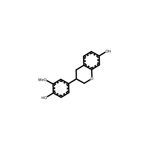 COc1cc(C2COc3cc(O)ccc3C2)ccc1O